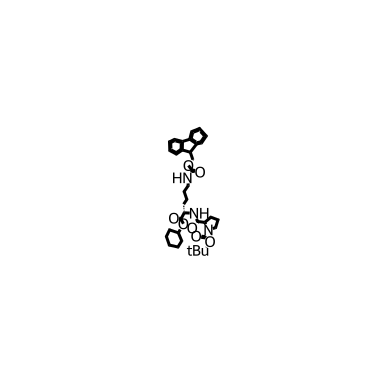 CC(C)(C)OC(=O)N1CCCC1C(=O)N[C@@H](CCCCNC(=O)OCC1c2ccccc2-c2ccccc21)C(=O)OC1CCCCC1